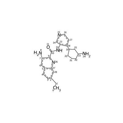 CCc1ccc2cc(N)c(C(=O)Nc3cnccc3C3CCCC(N)C3)nc2c1